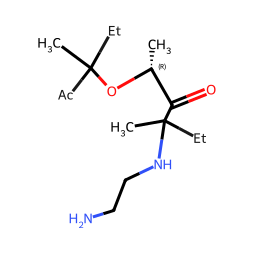 CCC(C)(NCCN)C(=O)[C@@H](C)OC(C)(CC)C(C)=O